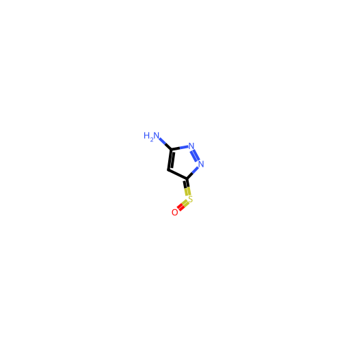 NC1=CC(=S=O)N=N1